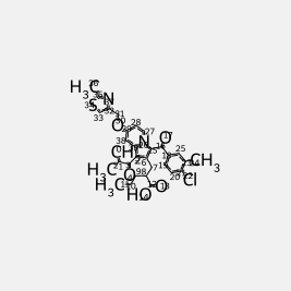 C=C(C)C(=O)c1c(CC(CCC)C(=O)O)c(C(=O)c2ccc(Cl)c(C)c2)n2ccc(OCc3csc(C)n3)cc12